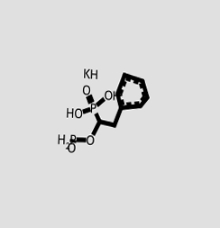 O=[PH2]OC(Cc1ccccc1)P(=O)(O)O.[KH]